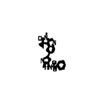 Cc1ncc(-c2ccc3ncc4c(c3c2)C2(CC2)C(=O)N4C)cc1NS(=O)(=O)c1ccccc1